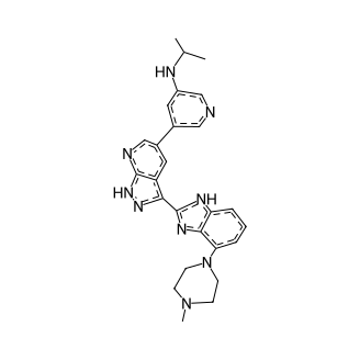 CC(C)Nc1cncc(-c2cnc3[nH]nc(-c4nc5c(N6CCN(C)CC6)cccc5[nH]4)c3c2)c1